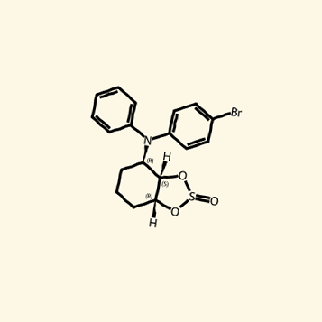 O=S1O[C@H]2[C@H](N(c3ccccc3)c3ccc(Br)cc3)CCC[C@H]2O1